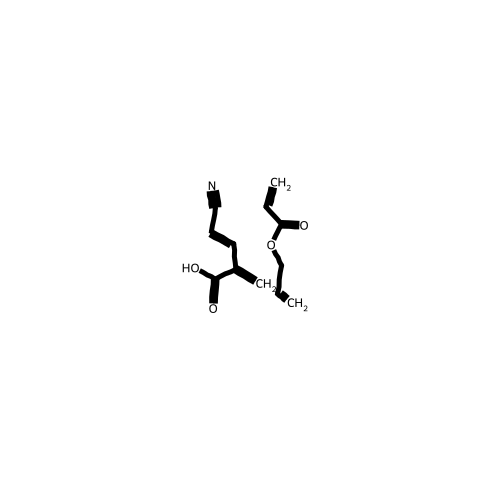 C=C(C=CC#N)C(=O)O.C=CCOC(=O)C=C